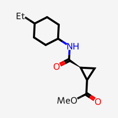 CCC1CCC(NC(=O)[C@H]2CC2C(=O)OC)CC1